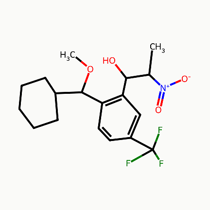 COC(c1ccc(C(F)(F)F)cc1C(O)C(C)[N+](=O)[O-])C1CCCCC1